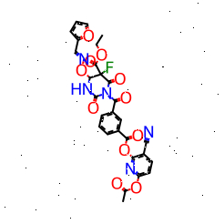 CCOC(=O)C1(F)C(=O)N(C(=O)c2cccc(C(=O)Oc3nc(OC(C)=O)ccc3C#N)c2)C(=O)NC1O/N=C/c1ccco1